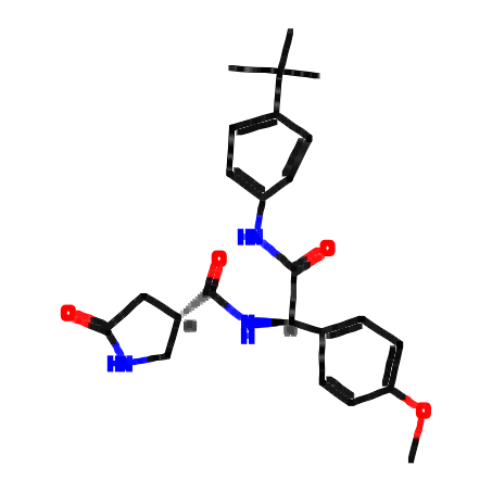 COc1ccc([C@@H](NC(=O)[C@@H]2CNC(=O)C2)C(=O)Nc2ccc(C(C)(C)C)cc2)cc1